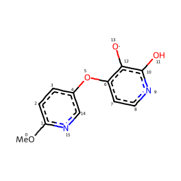 COc1ccc(Oc2ccnc(O)c2[O])cn1